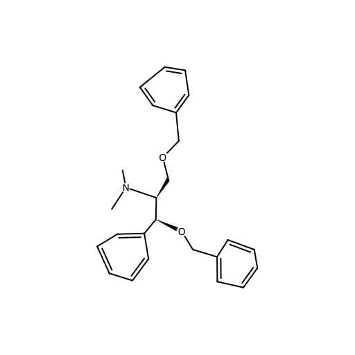 CN(C)[C@@H](COCc1ccccc1)[C@@H](OCc1ccccc1)c1ccccc1